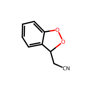 N#CCC1OOc2ccccc21